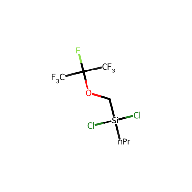 CCC[Si](Cl)(Cl)COC(F)(C(F)(F)F)C(F)(F)F